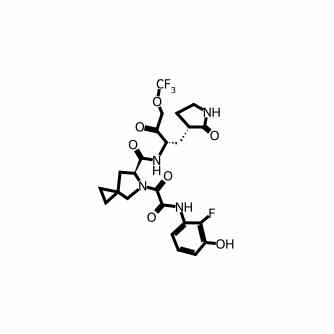 O=C(Nc1cccc(O)c1F)C(=O)N1CC2(CC2)C[C@H]1C(=O)N[C@@H](C[C@@H]1CCNC1=O)C(=O)COC(F)(F)F